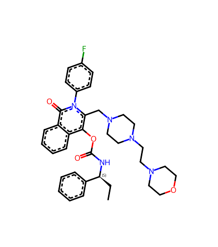 CC[C@H](NC(=O)Oc1c(CN2CCN(CCN3CCOCC3)CC2)n(-c2ccc(F)cc2)c(=O)c2ccccc12)c1ccccc1